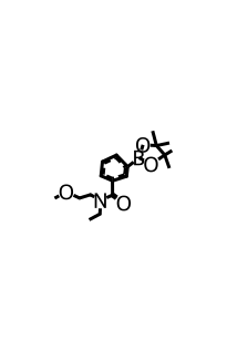 CCN(CCOC)C(=O)c1cccc(B2OC(C)(C)C(C)(C)O2)c1